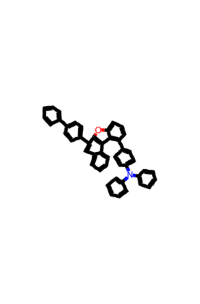 c1ccc(-c2ccc(-c3cc4ccccc4c4c3oc3cccc(-c5ccc(N(c6ccccc6)c6ccccc6)cc5)c34)cc2)cc1